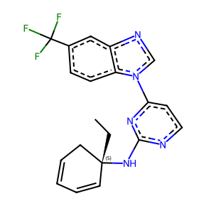 CC[C@@]1(Nc2nccc(-n3cnc4cc(C(F)(F)F)ccc43)n2)C=CC=CC1